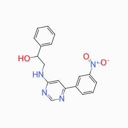 O=[N+]([O-])c1cccc(-c2cc(NCC(O)c3ccccc3)ncn2)c1